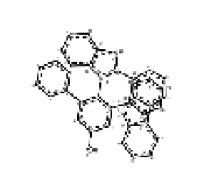 CC(C)(C)c1cc(-c2ccccc2)c(-n2c(-c3cccc4c3oc3ccccc34)nc3ccccc32)c(-c2ccccc2)c1